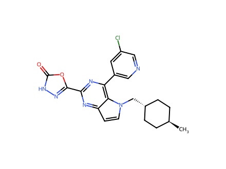 C[C@H]1CC[C@H](Cn2ccc3nc(-c4n[nH]c(=O)o4)nc(-c4cncc(Cl)c4)c32)CC1